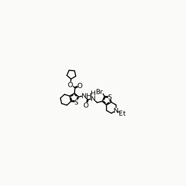 CCN1CCc2c(sc(Br)c2CNC(=O)Nc2sc3c(c2C(=O)OC2CCCC2)CCCC3)C1